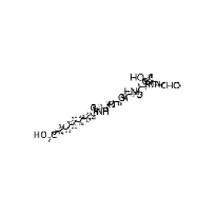 O=[C]CC[C@H](NC(=O)CCC(=O)NCCCOCCOCCCNC(=O)CCCCCCCCCCCCC(=O)O)C(=O)O